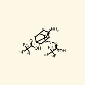 NC12CC3CC(C1)CC(N)(C3)C2.O=C(O)C(F)(F)F.O=C(O)C(F)(F)F